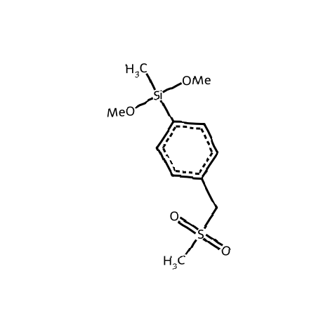 CO[Si](C)(OC)c1ccc(CS(C)(=O)=O)cc1